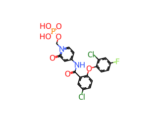 O=C(Nc1ccn(COP(=O)(O)O)c(=O)c1)c1cc(Cl)ccc1Oc1ccc(F)cc1Cl